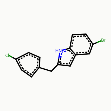 Clc1ccc(Cc2cc3cc(Br)ccc3[nH]2)cc1